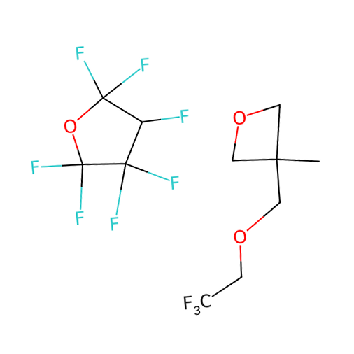 CC1(COCC(F)(F)F)COC1.FC1C(F)(F)OC(F)(F)C1(F)F